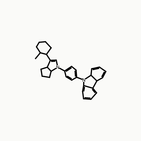 CC1CCCCC1C1=CN(c2ccc(N3c4ccccc4C4C=CC=CC43)cc2)C2CCCC12